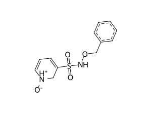 O=S(=O)(NOCc1ccccc1)C1=CC=C[NH+]([O-])C1